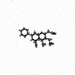 CCCCOc1cc2oc(-c3ccccc3)cc(=O)c2c(O)c1OCCCC